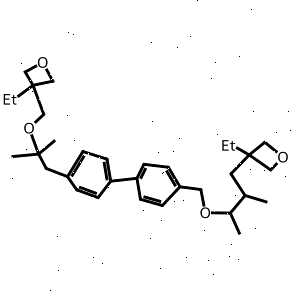 CCC1(COC(C)(C)Cc2ccc(-c3ccc(COC(C)C(C)CC4(CC)COC4)cc3)cc2)COC1